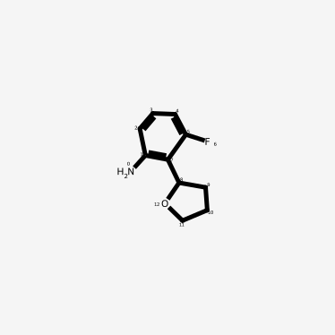 Nc1cccc(F)c1C1CCCO1